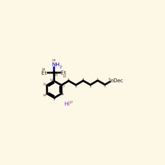 CCCCCCCCCCCCCCCCc1ccccc1C(N)(CC)CC.I